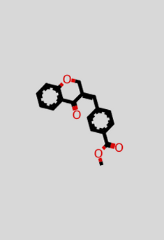 COC(=O)c1ccc(/C=C2/COc3ccccc3C2=O)cc1